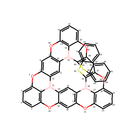 c1cc2c3c(c1)Oc1cc4c(cc1B3c1cc3c(cc1O2)Oc1cccc2c1B3c1sc3ccccc3c1O2)B1c2sc3ccccc3c2Oc2cccc(c21)O4